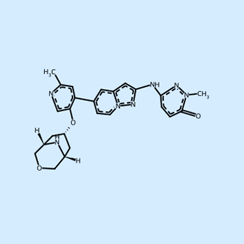 Cc1cc(-c2ccn3nc(Nc4ccc(=O)n(C)n4)cc3c2)c(O[C@H]2C[C@H]3COC[C@@H](C2)N3)cn1